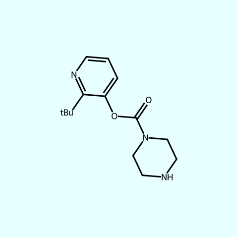 CC(C)(C)c1ncccc1OC(=O)N1CCNCC1